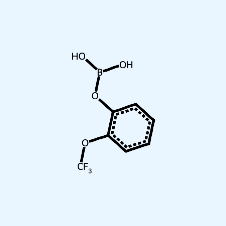 OB(O)Oc1ccccc1OC(F)(F)F